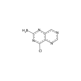 Bc1nc(Cl)c2ncncc2n1